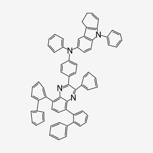 C1=Cc2c(c3cc(N(c4ccccc4)c4ccc(-c5nc6c(-c7ccccc7-c7ccccc7)ccc(-c7ccccc7-c7ccccc7)c6nc5-c5ccccc5)cc4)ccc3n2-c2ccccc2)CC1